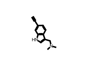 C#Cc1ccc2c(CN(C)C)c[nH]c2c1